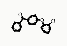 O=C(c1ccccc1)c1ccc(Oc2ccccc2Cl)cc1